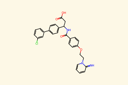 N=c1ccccn1CCOc1ccc(C(=O)NC(CC(=O)O)c2ccc(-c3cccc(Cl)c3)cc2)cc1